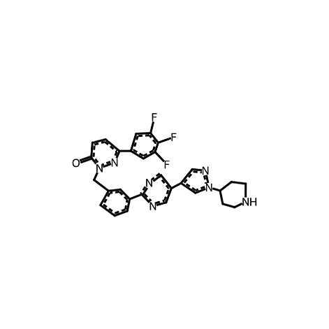 O=c1ccc(-c2cc(F)c(F)c(F)c2)nn1Cc1cccc(-c2ncc(-c3cnn(C4CCNCC4)c3)cn2)c1